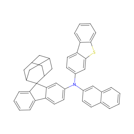 c1ccc2c(c1)-c1ccc(N(c3ccc4ccccc4c3)c3ccc4c(c3)sc3ccccc34)cc1C21C2CC3CC(C2)CC1C3